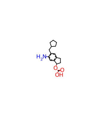 Nc1cc2c(cc1CC1CCCC1)CCC2OC(=O)O